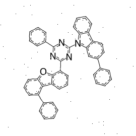 c1ccc(-c2ccc3c4ccccc4n(-c4nc(-c5ccccc5)nc(-c5cccc6c5oc5cccc(-c7ccccc7)c56)n4)c3c2)cc1